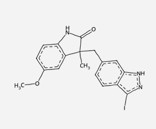 COc1ccc2c(c1)C(C)(Cc1ccc3c(I)n[nH]c3c1)C(=O)N2